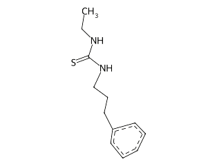 CCNC(=S)NCCCc1ccccc1